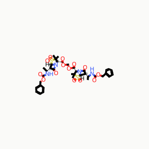 CC(NC(=O)OCc1ccccc1)[C@H]1C(=O)N2[C@@H](C(=O)OCOC(=O)[C@@H]3N4C(=O)[C@H](C(C)NC(=O)OCc5ccccc5)[C@H]4S(=O)(=O)C3(C)C)C(C)(C)S(=O)(=O)[C@H]12